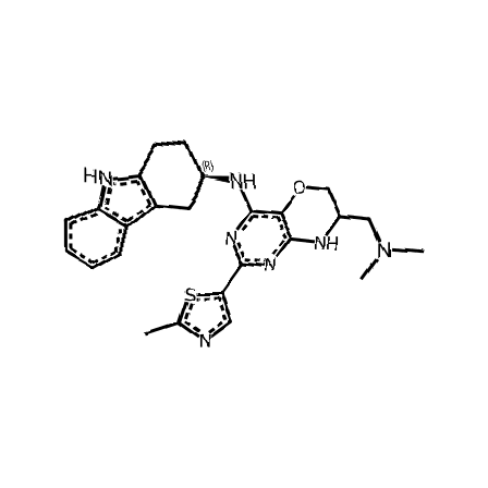 Cc1ncc(-c2nc3c(c(N[C@@H]4CCc5[nH]c6ccccc6c5C4)n2)OCC(CN(C)C)N3)s1